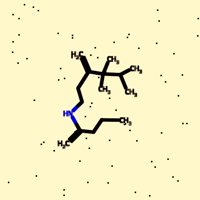 C=C(CCC)NCCC(=C)C(C)(C)C(C)C